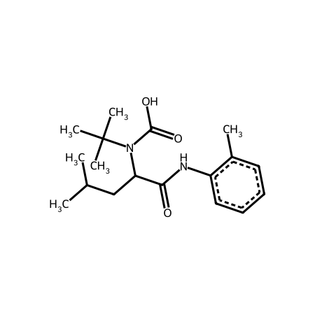 Cc1ccccc1NC(=O)C(CC(C)C)N(C(=O)O)C(C)(C)C